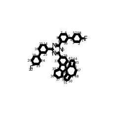 Fc1ccc(-c2cccc(-c3nc(-c4cccc(-c5ccc(F)cc5)c4)nc(-c4ccc5c(c4)-c4ccccc4C54c5ccccc5C=Cc5ccccc54)n3)c2)cc1